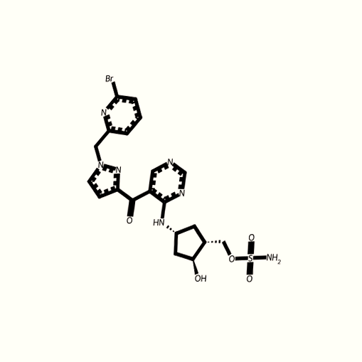 NS(=O)(=O)OC[C@H]1C[C@@H](Nc2ncncc2C(=O)c2ccn(Cc3cccc(Br)n3)n2)C[C@@H]1O